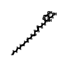 CCCCCC=CCC=CCC=CCC=CCCCC(=O)NC(CO)C(=O)O